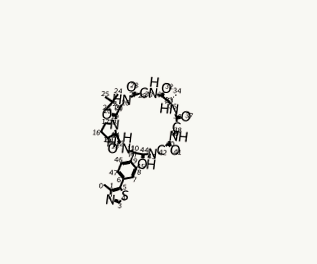 Cc1ncsc1-c1ccc([C@H]2NC(=O)[C@@H]3CCCN3C(=O)[C@H](C(C)(C)C)NC(=O)CNC(=O)[C@H](C)NC(=O)CNC(=O)CNC2=O)cc1